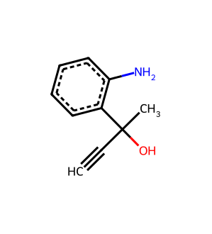 C#CC(C)(O)c1ccccc1N